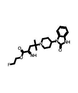 CC(C)(CC(=N)C(=O)OCCF)N1CCC(n2c(=O)[nH]c3ccccc32)CC1